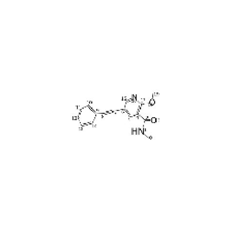 CNC(=O)c1cc(C#Cc2ccccc2)cnc1OC